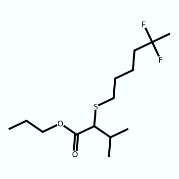 CCCOC(=O)C(SCCCCC(C)(F)F)C(C)C